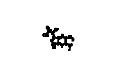 COc1cc2[nH]cc(C(=O)C(=O)Cl)c2cc1OC